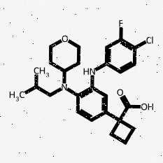 CC(C)CN(c1ccc(C2(C(=O)O)CCC2)cc1Nc1ccc(Cl)c(F)c1)C1CCOCC1